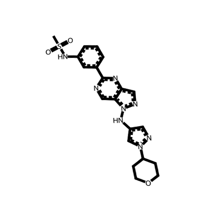 CS(=O)(=O)Nc1cccc(-c2ncc3c(cnn3Nc3cnn(C4CCOCC4)c3)n2)c1